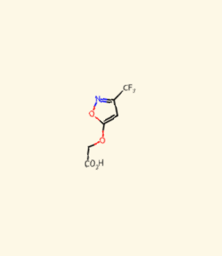 O=C(O)COc1cc(C(F)(F)F)no1